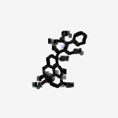 CC/C(C(=O)C1(O)CC=C2C[C@@H]3[C@@H]4C=C[C@H](O)[C@@H]5OC1=C2[C@]45CCN3C)=C(\c1ccccc1)N(C)C